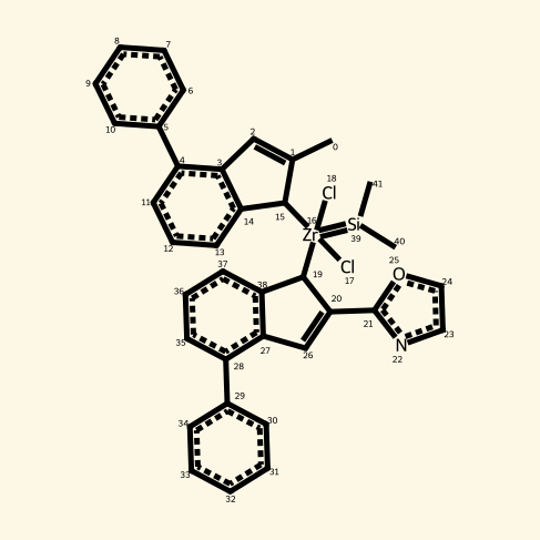 CC1=Cc2c(-c3ccccc3)cccc2[CH]1[Zr]([Cl])([Cl])([CH]1C(c2ncco2)=Cc2c(-c3ccccc3)cccc21)=[Si](C)C